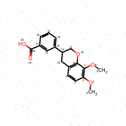 COc1ccc2c(c1OC)OCC(c1cccc(C(=O)O)c1)C2